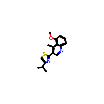 COc1cccc2n[c]c(-c3nc(C(C)C)cs3)c(C)c12